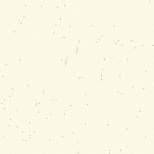 CCc1ccc(-c2ccc(OC(F)F)cc2)c(F)c1F